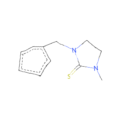 CN1CCN(Cc2ccccc2)C1=S